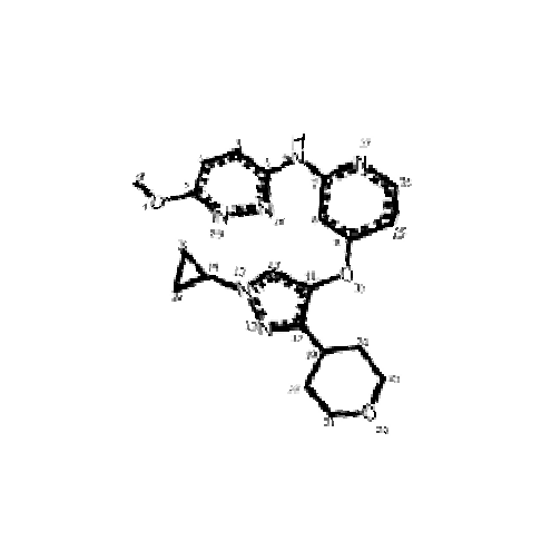 COc1ccc(Nc2cc(Oc3cn(C4CC4)nc3C3CCOCC3)ccn2)nn1